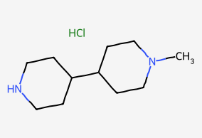 CN1CCC(C2CCNCC2)CC1.Cl